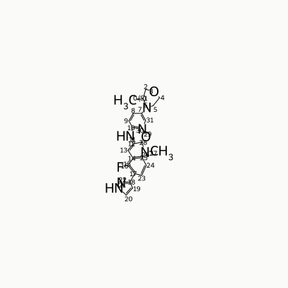 C[C@H]1COCCN1c1ccc(Nc2cc3c(F)c(-c4cc[nH]n4)ccc3n(C)c2=O)nc1